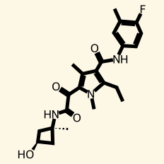 CCc1c(C(=O)Nc2ccc(F)c(C)c2)c(C)c(C(=O)C(=O)N[C@]2(C)C[C@H](O)C2)n1C